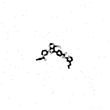 CC#CC(=O)N1CCC[C@@H](n2nc(-c3ccc(C(=O)Nc4cc(CCC)ccn4)cc3)c3c(N)ncnc32)C1